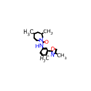 Cc1coc(-c2cc(NC(=O)N3CCC(C)CC(C)C3)ccc2C)n1